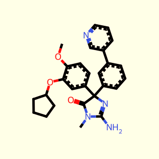 COc1ccc(C2(c3cccc(-c4cccnc4)c3)N=C(N)N(C)C2=O)cc1OC1CCCC1